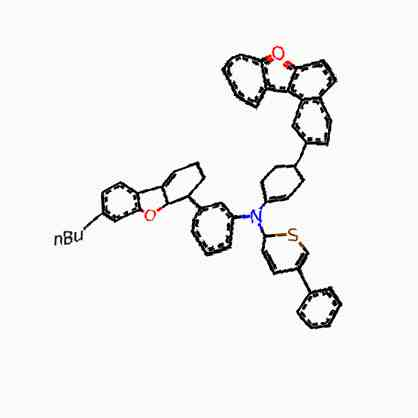 CCCCc1ccc2c(c1)OC1C2=CCCC1c1cccc(N(C2=CCC(c3ccc4ccc5oc6ccccc6c5c4c3)CC2)C2C=CC(c3ccccc3)=CS2)c1